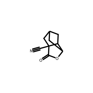 N#CC12CC3CC(OC1=O)C2C3